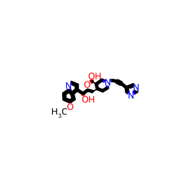 COc1ccc2nccc(C(O)CC[C@@H]3CCN(CC#Cc4cncnc4)C[C@@H]3C(=O)O)c2c1